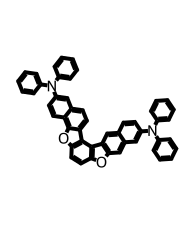 c1ccc(N(c2ccccc2)c2ccc3cc4c(cc3c2)oc2ccc3oc5c6ccc(N(c7ccccc7)c7ccccc7)cc6ccc5c3c24)cc1